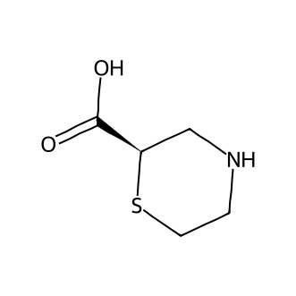 O=C(O)[C@H]1CNCCS1